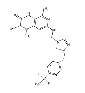 Cc1nc(NCc2cnn(Cc3ccc(C(C)(F)F)nc3)c2)cc2c1NC(=O)C(C(C)C)N2C